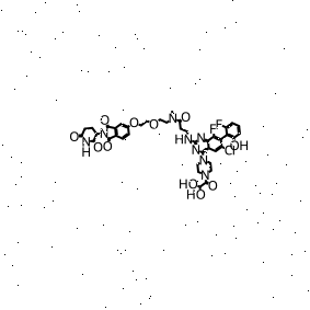 CN(CCOCCOc1ccc2c(c1)C(=O)N(C1CCC(=O)NC1=O)C2=O)C(=O)CCNc1nc(N2CCN(C(=O)C(O)O)CC2)c2cc(Cl)c(-c3c(O)cccc3F)c(F)c2n1